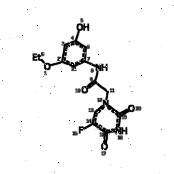 CCOc1cc(O)cc(NC(=O)Cn2cc(F)c(=O)[nH]c2=O)c1